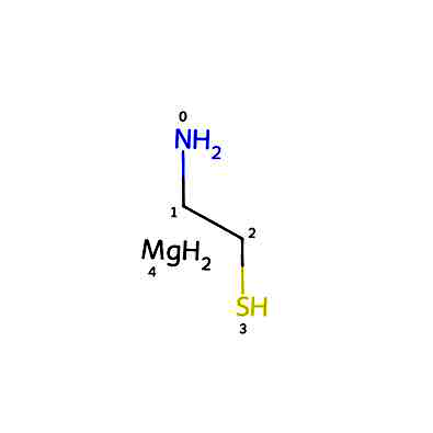 NCCS.[MgH2]